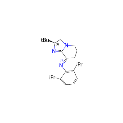 CC(C)c1cccc(C(C)C)c1/N=C1\CCCN2C[C@H](C(C)(C)C)N=C12